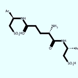 CC(=O)[C@H](CS(=O)(=O)O)NC(=O)CC[C@H](N)C(=O)N[C@@H](CS(=O)(=O)O)C(C)=O